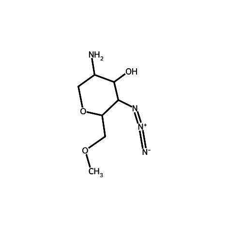 COCC1OCC(N)C(O)C1N=[N+]=[N-]